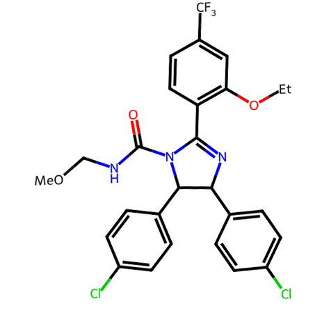 CCOc1cc(C(F)(F)F)ccc1C1=NC(c2ccc(Cl)cc2)C(c2ccc(Cl)cc2)N1C(=O)NCOC